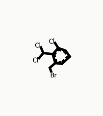 Clc1cccc(CBr)c1C(Cl)Cl